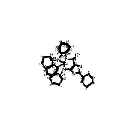 O=C1c2[nH]c(-c3ccccc3)nc2N(c2ccccc2)C(c2ccccc2)(N(c2ccccc2)c2ccccc2)N1c1ccccc1